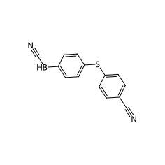 N#CBc1ccc(Sc2ccc(C#N)cc2)cc1